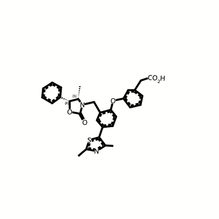 Cc1nc(C)c(-c2ccc(Oc3cccc(CC(=O)O)c3)c(CN3C(=O)O[C@H](c4ccccc4)[C@@H]3C)c2)s1